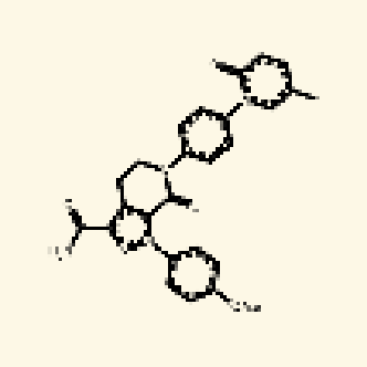 COc1ccc(-n2nc(C(N)=O)c3c2C(=O)N(c2ccc(-n4cc(C)ccc4=O)cc2)CC3)cc1